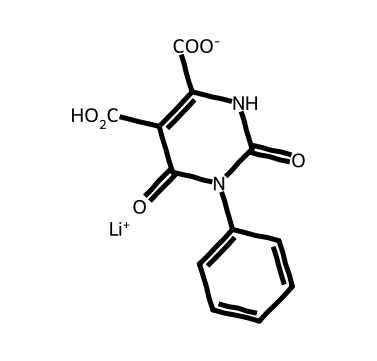 O=C([O-])c1[nH]c(=O)n(-c2ccccc2)c(=O)c1C(=O)O.[Li+]